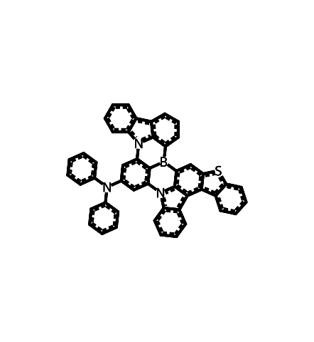 c1ccc(N(c2ccccc2)c2cc3c4c(c2)-n2c5ccccc5c5c6c(cc(c52)B4c2cccc4c5ccccc5n-3c24)sc2ccccc26)cc1